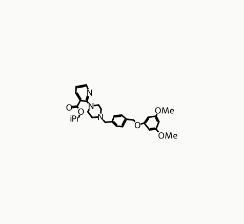 COc1cc(OC)cc(OCc2ccc(CN3CCN(c4ncccc4C(=O)OC(C)C)CC3)cc2)c1